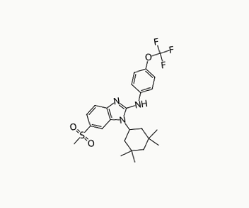 CC1(C)CC(n2c(Nc3ccc(OC(F)(F)F)cc3)nc3ccc(S(C)(=O)=O)cc32)CC(C)(C)C1